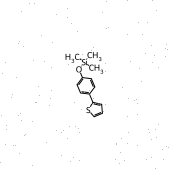 C[Si](C)(C)Oc1ccc(-c2cccs2)cc1